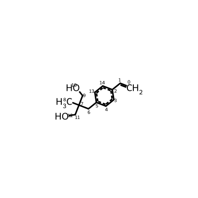 C=Cc1ccc(CC(C)(CO)CO)cc1